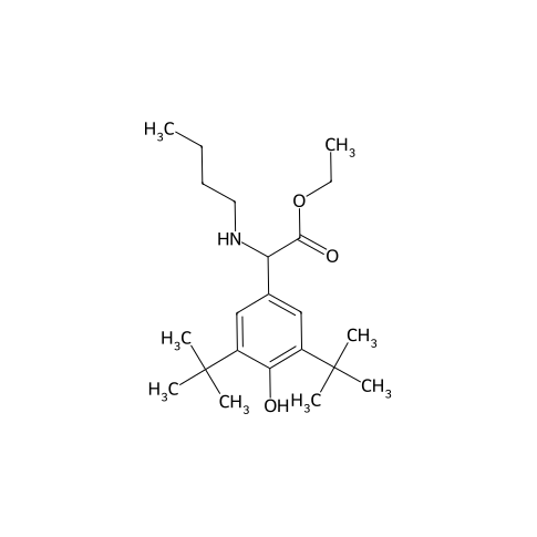 CCCCNC(C(=O)OCC)c1cc(C(C)(C)C)c(O)c(C(C)(C)C)c1